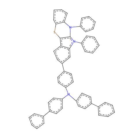 c1ccc(-c2ccc(N(c3ccc(-c4ccccc4)cc3)c3ccc(-c4ccc5c6c(n(-c7ccccc7)c5c4)N(c4ccccc4)c4ccccc4S6)cc3)cc2)cc1